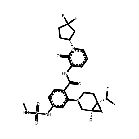 CNS(=O)(=O)Nc1ccc(C(=O)Nc2cccn([C@@H]3CCC(F)(F)C3)c2=O)c(N2CC[C@@]3(C(F)F)C[C@H]3C2)c1